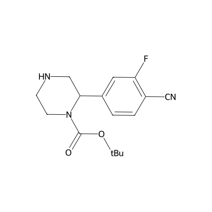 CC(C)(C)OC(=O)N1CCNCC1c1ccc(C#N)c(F)c1